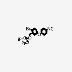 [C-]#[N+]c1ccc(Oc2ccc(Br)c(COB(OC(C)C)OC(C)C)c2)cc1